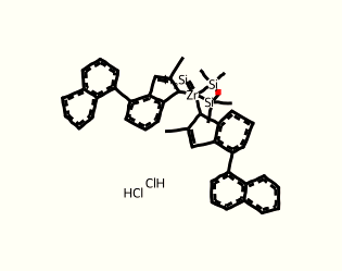 CC1=Cc2c(-c3cccc4ccccc34)cccc2[CH]1[Zr](=[SiH2])([CH]1C(C)=Cc2c(-c3cccc4ccccc34)cccc21)([Si](C)(C)C)[Si](C)(C)C.Cl.Cl